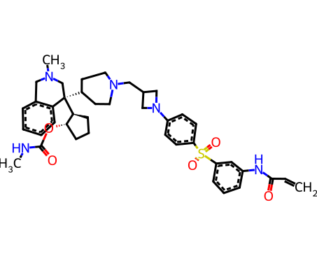 C=CC(=O)Nc1cccc(S(=O)(=O)c2ccc(N3CC(CN4CCC([C@@]5([C@H]6CCC[C@@H]6OC(=O)NC)CN(C)Cc6ccccc65)CC4)C3)cc2)c1